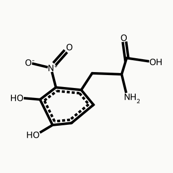 NC(Cc1ccc(O)c(O)c1[N+](=O)[O-])C(=O)O